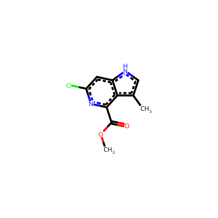 COC(=O)c1nc(Cl)cc2[nH]cc(C)c12